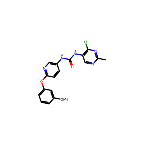 COc1cccc(Oc2ccc(NC(=O)Nc3cnc(C)nc3Cl)cn2)c1